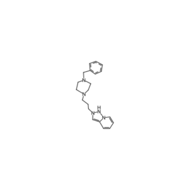 C1=CC2=CN(CCCN3CCN(Cc4ccccc4)CC3)NN2C=C1